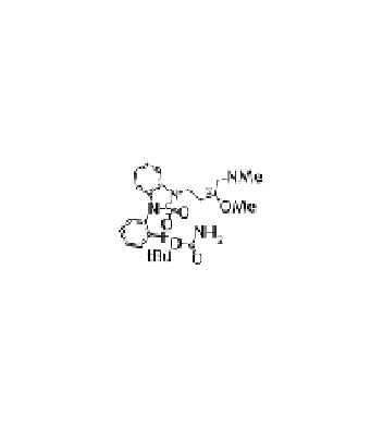 CC(C)(C)OC(N)=O.CNC[C@H](CCN1c2ccccc2N(c2ccccc2F)S1(=O)=O)OC